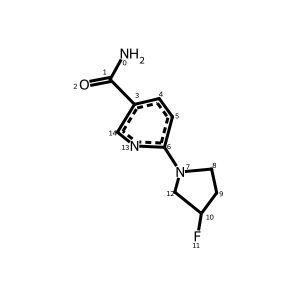 NC(=O)c1ccc(N2CCC(F)C2)nc1